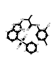 Cc1ccc(NC(=O)C(C)Sc2nc3cccc(S(=O)(=O)c4ccccc4)c3[nH]2)c(Cl)c1